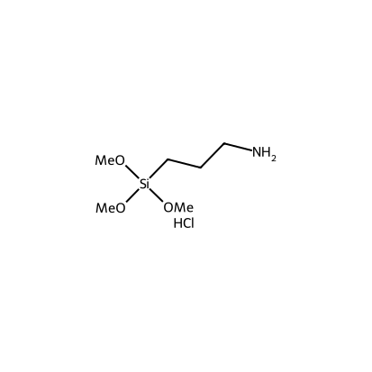 CO[Si](CCCN)(OC)OC.Cl